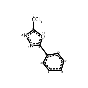 ClC(Cl)(Cl)c1nnc(-c2ccccc2)o1